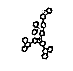 c1ccc([Si]2(c3ccccc3)c3cc(-c4ccc5oc6ccccc6c5c4)ccc3-c3ccc(-n4c5ccc(-c6cc7ccccc7c7ccccc67)cc5c5cc(-c6cc7ccccc7c7ccccc67)ccc54)cc32)cc1